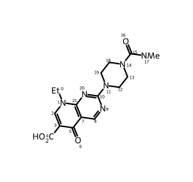 CCn1cc(C(=O)O)c(=O)c2cnc(N3CCN(C(=O)NC)CC3)nc21